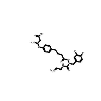 CCCNC(=O)N(Cc1ccc(Cl)c(Cl)c1)NC(=O)CCCc1ccc(OC(C)CC(=O)O)cc1